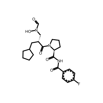 O=CN(O)C[C@@H](CC1CCCC1)C(=O)N1CCC[C@H]1C(=O)NC(=O)c1ccc(F)cc1